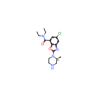 CCN(CC)C(=O)c1cc(Cl)cc2nc(N3CCNC[C@@H]3C)oc12